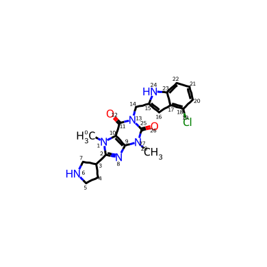 Cn1c(C2CCNC2)nc2c1c(=O)n(Cc1cc3c(Cl)cccc3[nH]1)c(=O)n2C